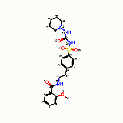 COc1ccccc1C(=O)NCCc1ccc(S(=O)(=O)NC(=O)NN2CCCCC2)cc1